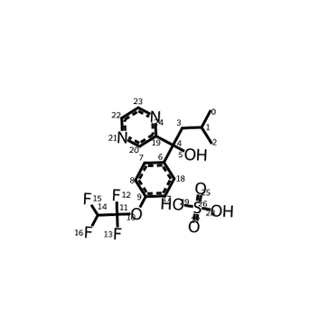 CC(C)CC(O)(c1ccc(OC(F)(F)C(F)F)cc1)c1cnccn1.O=S(=O)(O)O